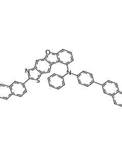 c1ccc(N(c2ccc(-c3ccc4ccccc4c3)cc2)c2cccc3oc4cc5nc(-c6ccc7ccccc7c6)sc5cc4c23)cc1